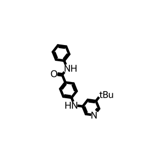 CC(C)(C)c1cncc(Nc2ccc(C(=O)Nc3ccccc3)cc2)c1